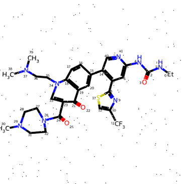 CCNC(=O)Nc1cc(-c2nc(C(F)(F)F)cs2)c(-c2ccc3c(c2)c(=O)c(C(=O)N2CCN(C)CC2)cn3CCN(C)C)cn1